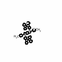 Cc1ccc(-c2cc3cc4c(cc3n2-c2ccc3c(c2)C(c2ccccc2)(c2ccccc2)c2ccccc2-3)CC(c2ccc(C)cc2)N4c2ccc3c(c2)C(c2ccccc2)(c2ccccc2)c2ccccc2-3)cc1